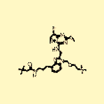 CSc1nc(NCc2nc3c(CCCNC(=O)CC(C)(C)C)cccc3n2COCCS(C)(C)C)n2ncc(Br)c2n1